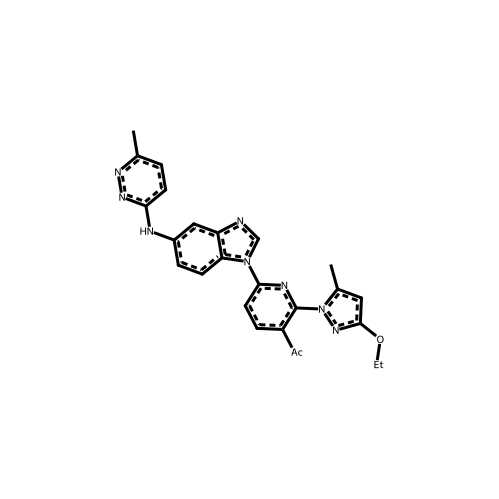 CCOc1cc(C)n(-c2nc(-n3cnc4cc(Nc5ccc(C)nn5)ccc43)ccc2C(C)=O)n1